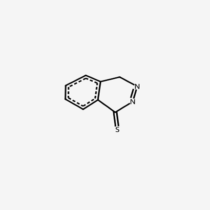 S=C1N=NCc2ccccc21